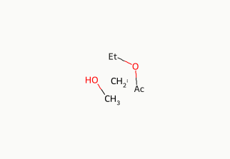 CCOC(C)=O.CO.[CH2]